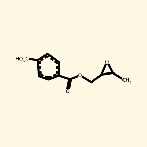 CC1OC1COC(=O)c1ccc(C(=O)O)cc1